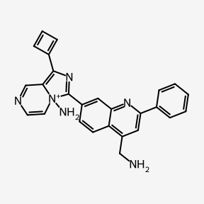 NCc1cc(-c2ccccc2)nc2cc(C3=NC(C4=CC=C4)=C4C=NC=C[N+]34N)ccc12